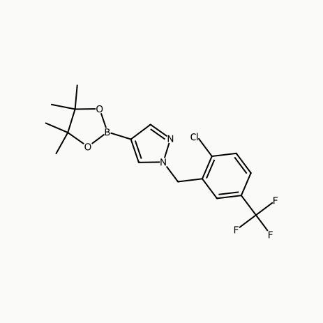 CC1(C)OB(c2cnn(Cc3cc(C(F)(F)F)ccc3Cl)c2)OC1(C)C